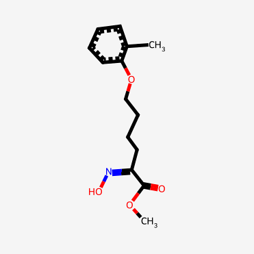 COC(=O)C(CCCCOc1ccccc1C)=NO